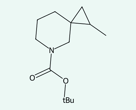 CC1CC12CCCN(C(=O)OC(C)(C)C)C2